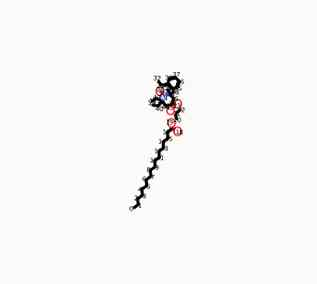 CCCCCCCCCCCCCCCCCC(=O)OCC1COC2(CC(C)(C)N(OC(C)c3ccccc3)C(CC)(CC)C2)O1